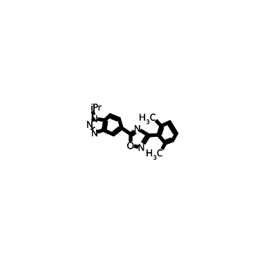 Cc1cccc(C)c1-c1noc(-c2ccc3c(c2)nnn3C(C)C)n1